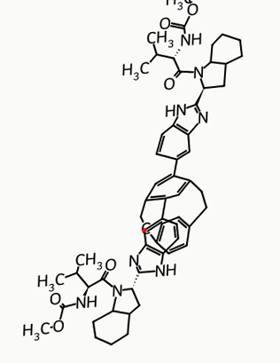 COC(=O)N[C@H](C(=O)N1C2CCCCC2C[C@H]1c1nc2cc(-c3cc4c(-c5ccc6[nH]c([C@@H]7CC8CCCCC8N7C(=O)[C@@H](NC(=O)OC)C(C)C)nc6c5)cc3CCc3ccc(cc3)CC4)ccc2[nH]1)C(C)C